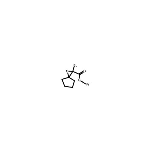 CCC1(C(=O)OC(C)C)OC12CCCC2